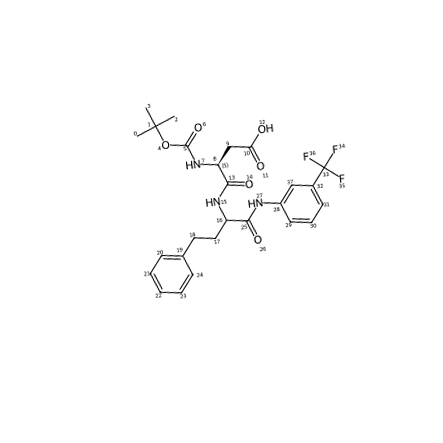 CC(C)(C)OC(=O)N[C@@H](CC(=O)O)C(=O)NC(CCc1ccccc1)C(=O)Nc1cccc(C(F)(F)F)c1